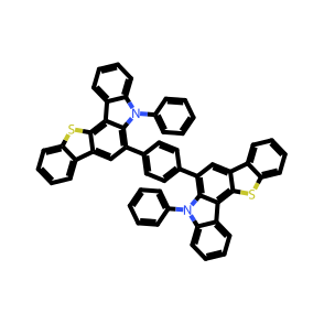 c1ccc(-n2c3ccccc3c3c4sc5ccccc5c4cc(-c4ccc(-c5cc6c7ccccc7sc6c6c7ccccc7n(-c7ccccc7)c56)cc4)c32)cc1